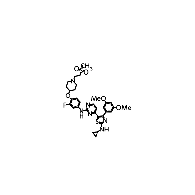 COc1cc(OC)cc(-c2nc(NC3CC3)sc2-c2ccnc(Nc3ccc(OC4CCN(CCS(C)(=O)=O)CC4)c(F)c3)n2)c1